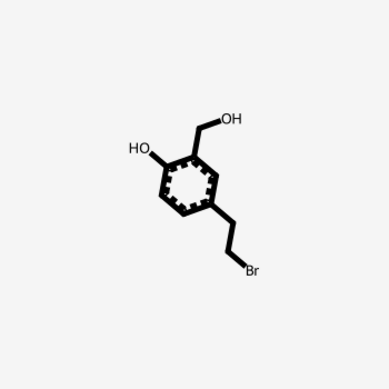 OCc1cc(CCBr)ccc1O